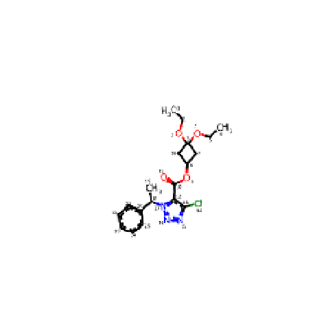 CCOC1(OCC)CC(OC(=O)c2c(Cl)nnn2[C@H](C)c2ccccc2)C1